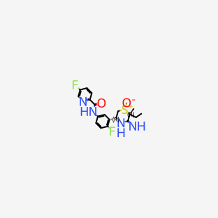 CC[C@]1(C)C(=N)N[C@H](c2cc(NC(=O)c3ccc(F)cn3)ccc2F)C[S+]1[O-]